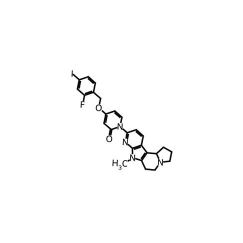 Cn1c2c(c3ccc(-n4ccc(OCc5ccc(I)cc5F)cc4=O)nc31)C1CCCN1CC2